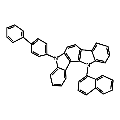 c1ccc(-c2ccc(-n3c4ccccc4c4c3ccc3c5ccccc5n(-c5cccc6ccccc56)c34)cc2)cc1